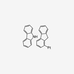 [Pt][c]1cccc2c1Cc1ccccc1-2.c1ccc2c(c1)[nH]c1ccccc12